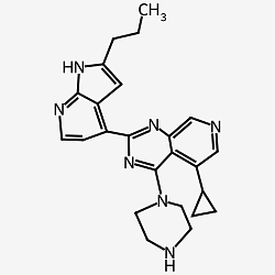 CCCc1cc2c(-c3nc(N4CCNCC4)c4c(C5CC5)cncc4n3)ccnc2[nH]1